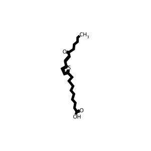 CCCCCC(=O)C=Cc1ccc(CCCCCCCCC(=O)O)s1